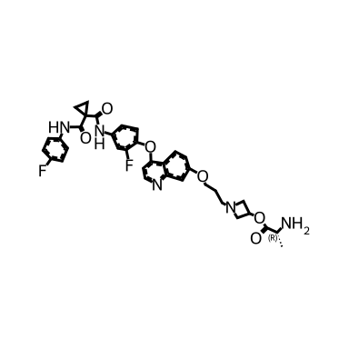 C[C@@H](N)C(=O)OC1CN(CCCOc2ccc3c(Oc4ccc(NC(=O)C5(C(=O)Nc6ccc(F)cc6)CC5)cc4F)ccnc3c2)C1